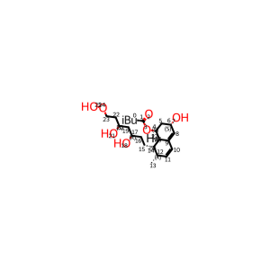 CCC(C)C(=O)O[C@H]1C[C@H](O)C=C2C=C[C@H](C)[C@H](CC[C@@H](O)C[C@@H](O)CCOO)[C@H]21